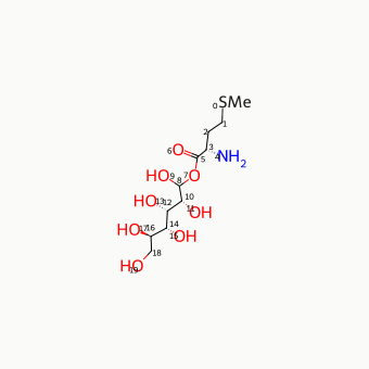 CSCC[C@H](N)C(=O)OC(O)[C@H](O)[C@@H](O)[C@H](O)[C@H](O)CO